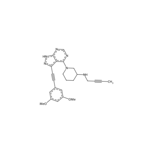 CC#CCNC1CCCN(c2ncnc3[nH]nc(C#Cc4cc(OC)cc(OC)c4)c23)C1